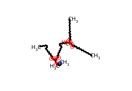 CCCCC/C=C\C/C=C\CCCCCCCC(=O)OCC(COC(=O)CCCCCCC/C=C\C/C=C\CCCCC)COC(=O)C1(C)CCN(C)C1.CCCCCCCCCCCCCCCCCC(=O)OC[C@H](CO)OC(=O)CCCCCCCCCCCCCCCCC